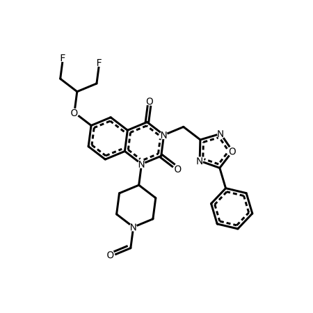 O=CN1CCC(n2c(=O)n(Cc3noc(-c4ccccc4)n3)c(=O)c3cc(OC(CF)CF)ccc32)CC1